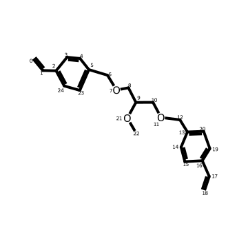 C=Cc1ccc(COCC(COCc2ccc(C=C)cc2)OC)cc1